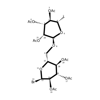 CC(=O)O[C@@H]1[C@@H](OC(C)=O)[C@H](C)O[C@@H](OC[C@H]2O[C@H](Br)[C@H](OC(C)=O)[C@@H](OC(C)=O)[C@@H]2OC(C)=O)[C@@H]1OC(C)=O